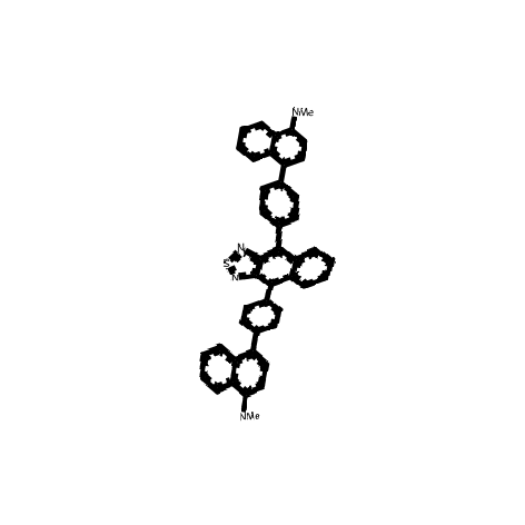 CNc1ccc(-c2ccc(-c3c4ccccc4c(-c4ccc(-c5ccc(NC)c6ccccc56)cc4)c4nsnc34)cc2)c2ccccc12